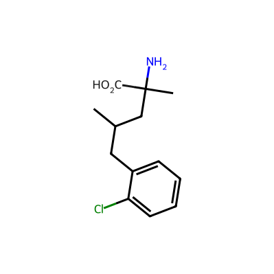 CC(Cc1ccccc1Cl)CC(C)(N)C(=O)O